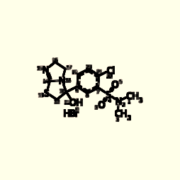 Br.CN(C)S(=O)(=O)c1cc(C2(O)CSC3=NCCN32)ccc1Cl